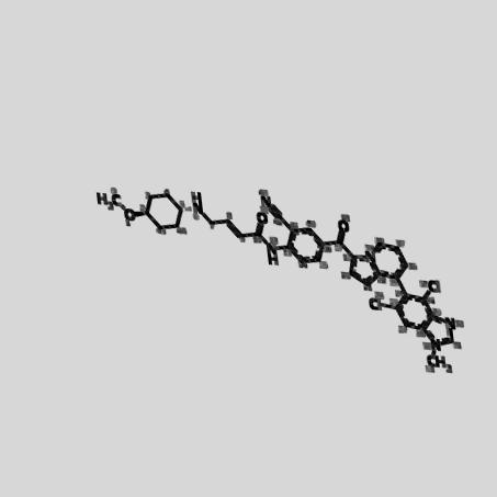 CO[C@H]1CC[C@H](NC/C=C/C(=O)Nc2ccc(C(=O)c3ccc4c(-c5c(Cl)cc6c(ncn6C)c5Cl)cccn34)cc2C#N)CC1